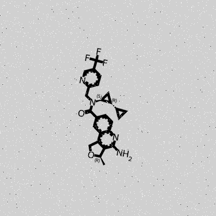 C[C@H]1OCc2c1c(N)nc1ccc(C(=O)N(Cc3ccc(C(F)(F)F)cn3)[C@H]3C[C@@H]3C3CC3)cc21